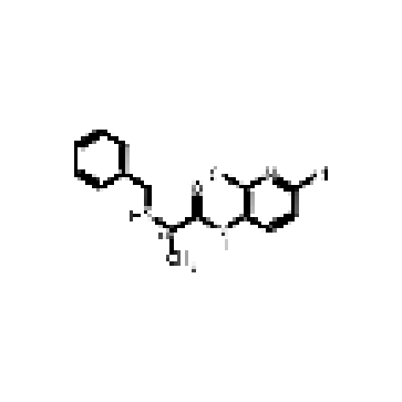 C[C@@H](NCc1ccccc1)C(=O)Nc1ccc(Cl)nc1Cl